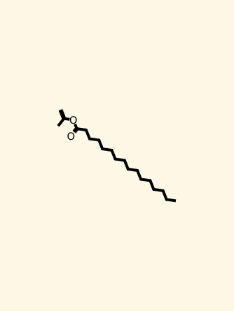 C=C(C)OC(=O)CCCCCCCCCCCCCCC